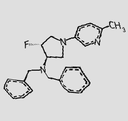 Cc1ccc(N2C[C@@H](F)[C@H](N(Cc3ccccc3)Cc3ccccc3)C2)cn1